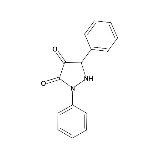 O=C1C(=O)N(c2ccccc2)NC1c1ccccc1